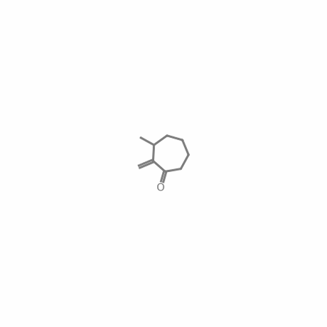 C=C1C(=O)CCCCC1C